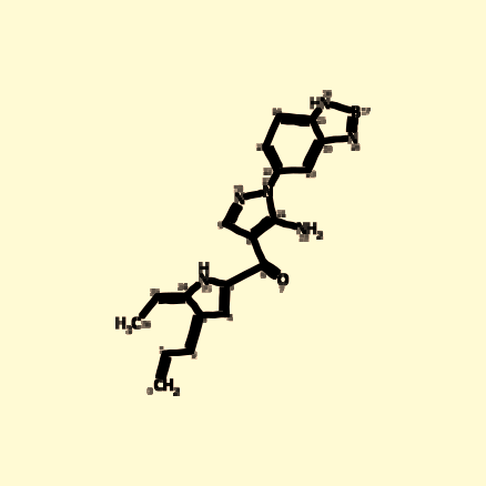 C=C/C=c1/cc(C(=O)c2cnn(-c3ccc4[nH]bnc4c3)c2N)[nH]/c1=C/C